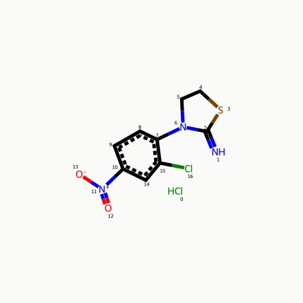 Cl.N=C1SCCN1c1ccc([N+](=O)[O-])cc1Cl